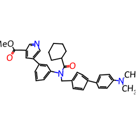 COC(=O)c1cncc(-c2cccc(N(Cc3ccc(-c4ccc(N(C)C)cc4)cc3)C(=O)C3CCCCC3)c2)c1